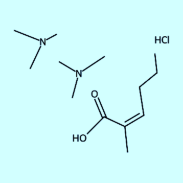 CCCC=C(C)C(=O)O.CN(C)C.CN(C)C.Cl